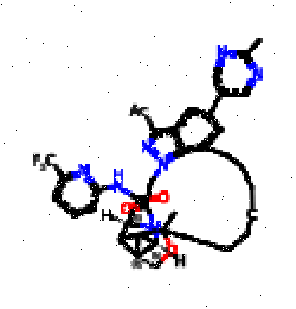 CC(=O)c1nn2c3c(cc(-c4cnc(C)nc4)cc13)CCCCCCC1(C)OC[C@@]34C5[C@@H](C(=O)Nc6cccc(C(F)(F)F)n6)N(C(=O)C2)[C@@H]3C514